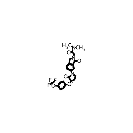 CN(C)C(=O)CN1Cc2ccc(N3CC[C@@H](Oc4ccc(OC(F)(F)F)cc4)C3=O)cc2C1=O